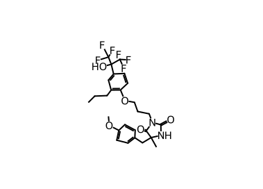 CCCc1cc(C(O)(C(F)(F)F)C(F)(F)F)ccc1OCCCN1C(=O)NC(C)(Cc2ccc(OC)cc2)C1=O